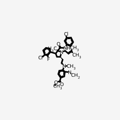 C=Nc1cc(C(=O)OC)ccc1N(C)CC[C@H]1CC(c2cccc(Cl)c2F)[C@](C)(C(=O)Nc2cccc(Cl)c2)N1CC=C(C)C